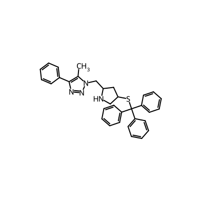 Cc1c(-c2ccccc2)nnn1CC1CC(SC(c2ccccc2)(c2ccccc2)c2ccccc2)CN1